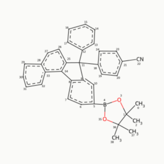 CC1(C)OB(c2ccc3c(c2)C(c2ccccc2)(c2ccc(C#N)cc2)c2ccc4ccccc4c2-3)OC1(C)C